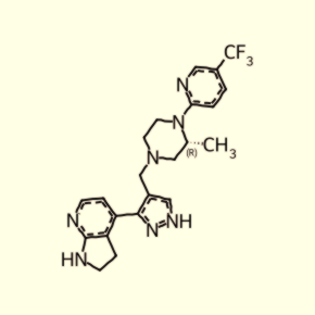 C[C@@H]1CN(Cc2c[nH]nc2-c2ccnc3c2CCN3)CCN1c1ccc(C(F)(F)F)cn1